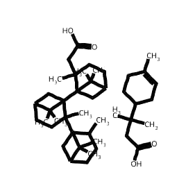 CC1=CCC(C(C)(C)CC(=O)O)CC1.CC1CCC2CC1(C1(C)CCC3CC1(C14CC(CCC1(C)CC(=O)O)C4(C)C)C3(C)C)C2(C)C